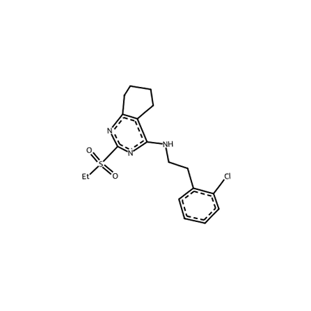 CCS(=O)(=O)c1nc2c(c(NCCc3ccccc3Cl)n1)CCCC2